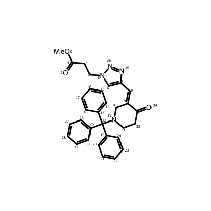 COC(=O)CCn1cc(/C=C2\CN(C(c3ccccc3)(c3ccccc3)c3ccccc3)CCC2=O)nn1